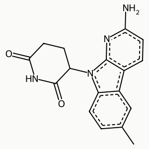 Cc1ccc2c(c1)c1ccc(N)nc1n2C1CCC(=O)NC1=O